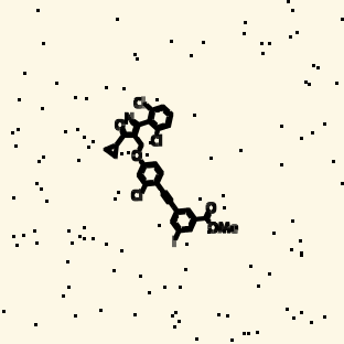 COC(=O)c1cc(I)cc(C#Cc2ccc(OCc3c(-c4c(Cl)cccc4Cl)noc3C3CC3)cc2Cl)c1